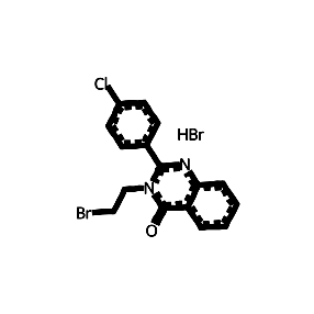 Br.O=c1c2ccccc2nc(-c2ccc(Cl)cc2)n1CCBr